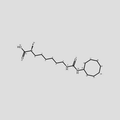 O=C(NCCCCCC[C@H](F)C(=O)O)NC1CCCCCCC1